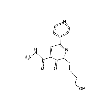 NNC(=O)C1=CC(c2ccncc2)=NC(CCCCO)C1=O